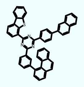 c1cc(-c2nc(-c3ccc(-c4ccc5ccccc5c4)cc3)nc(-c3cccc4c3sc3ccccc34)n2)cc(-c2cccc3ccc4ccccc4c23)c1